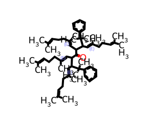 CC(C)=CCC/C(C)=C/C(C(=O)C(/C=C(\C)CCC=C(C)C)C(/C=C(\C)CCC=C(C)C)C(C)(C)c1ccccc1)C(/C=C(\C)CCC=C(C)C)C(C)(C)c1ccccc1